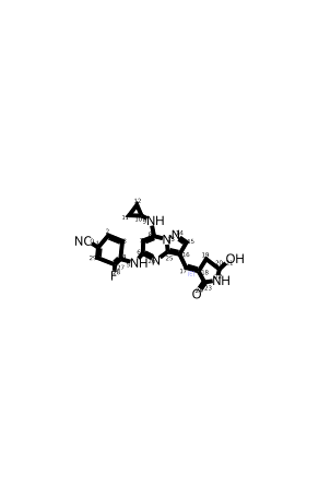 N#Cc1ccc(Nc2cc(NC3CC3)n3ncc(/C=C4\CC(O)NC4=O)c3n2)c(F)c1